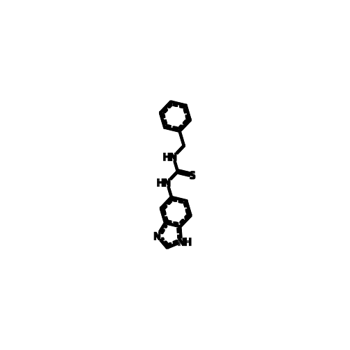 S=C(NCc1ccccc1)Nc1ccc2[nH]cnc2c1